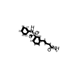 CNC(=O)C/C=C/c1cccc(S(=O)(=O)Nc2ccccc2)c1